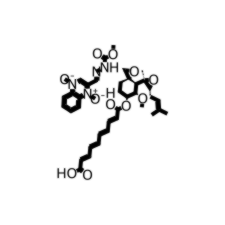 COC(=O)N/N=C/c1c[n+]([O-])c2ccccc2[n+]1[O-].CO[C@@H]1[C@H](OC(O)/C=C/C=C/C=C/C=C/C(=O)O)CC[C@]2(CO2)[C@H]1[C@@]1(C)O[C@@H]1CC=C(C)C